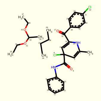 CC1=CC(Cl)(C(=O)Nc2ccccc2)C=C(C(=O)c2ccc(Cl)cc2)N1.CCCC.CCOC(C)OCC